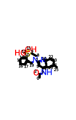 CC(=O)Nc1cc(N2CCS(O)(O)c3ccccc3C2)nc2ccc(C)cc12